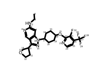 CCNc1cc2c(cn1)c(C1CCOC1)nn2C1CCC(Oc2nccc(C(F)(F)F)c2F)CC1